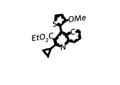 CCOC(=O)c1c(C2CC2)nc2ccccc2c1-c1sccc1OC